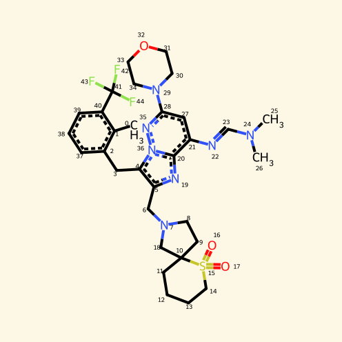 Cc1c(Cc2c(CN3CCC4(CCCCS4(=O)=O)C3)nc3c(/N=C/N(C)C)cc(N4CCOCC4)nn23)cccc1C(F)(F)F